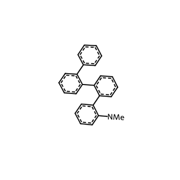 CNc1ccccc1-c1ccccc1-c1ccccc1-c1ccccc1